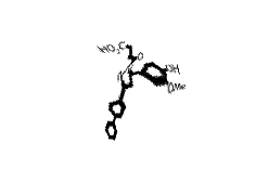 COc1cc(C2CC(c3ccc(-c4ccccc4)cc3)=NN2C(=O)CCC(=O)O)ccc1O